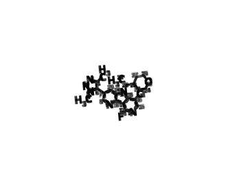 Cc1nnn(C)c1-c1cnc2c3c(F)ncc(Cl)c3n([C@H](C)C3CCOCC3)c2c1